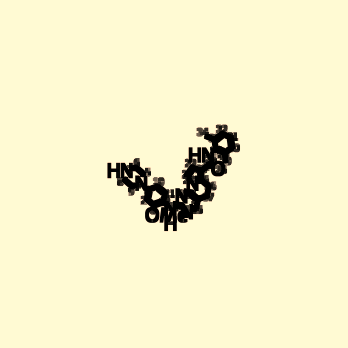 COc1cc(N2CCNCC2)ccc1Nc1ncc2c(n1)-n1ccc(C(=O)Nc3c(C)cccc3C)c1CC2